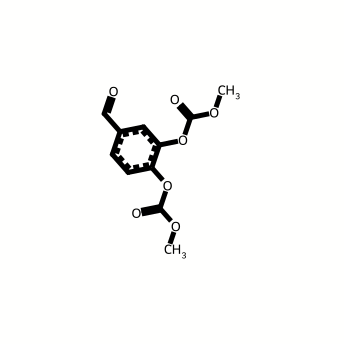 COC(=O)Oc1ccc(C=O)cc1OC(=O)OC